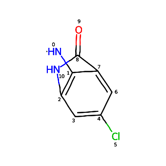 [NH]c1c2cc(Cl)cc1C(=O)N2